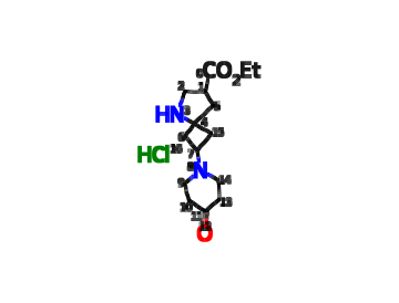 CCOC(=O)C1CNC2(C1)CC(N1CCC(=O)CC1)C2.Cl